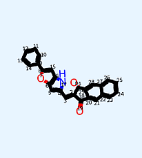 O=C1C(=Cc2cc3oc(-c4ccccc4)cc3[nH]2)C(=O)c2cc3ccccc3cc21